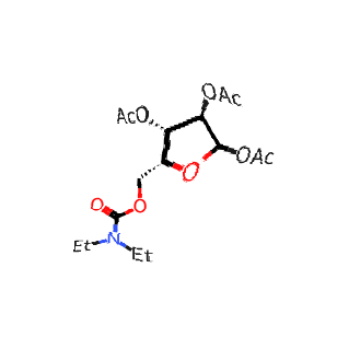 CCN(CC)C(=O)OC[C@H]1OC(OC(C)=O)[C@H](OC(C)=O)[C@H]1OC(C)=O